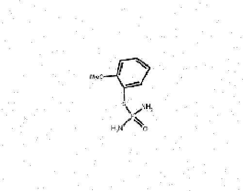 COc1ccccc1SP(N)(N)=O